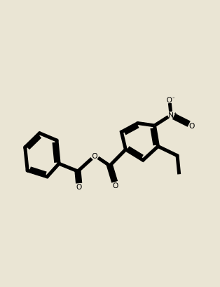 CCc1cc(C(=O)OC(=O)c2ccccc2)ccc1[N+](=O)[O-]